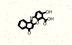 O=C(O)c1c(O)ccc2nc3c4ccccc4c(=O)cc-3oc12